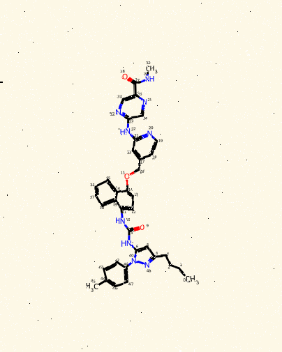 CCCCc1cc(NC(=O)Nc2ccc(OCc3ccnc(Nc4cnc(C(=O)NC)cn4)c3)c3ccccc23)n(-c2ccc(C)cc2)n1